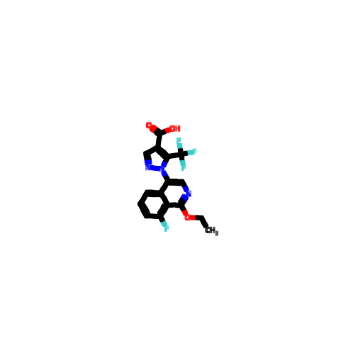 CCOc1ncc(-n2ncc(C(=O)O)c2C(F)(F)F)c2cccc(F)c12